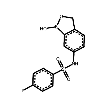 O=S(=O)(Nc1ccc2c(c1)B(O)OC2)c1ccc(I)cc1